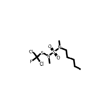 CCCCCN(C)S(=O)(=O)N(C)SC(F)(Cl)Cl